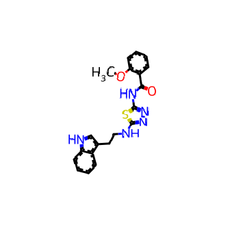 COc1ccccc1C(=O)Nc1nnc(NCCc2c[nH]c3ccccc23)s1